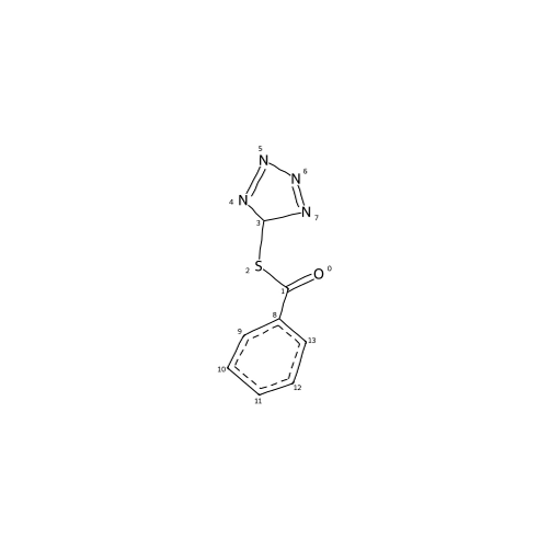 O=C(SC1N=NN=N1)c1ccccc1